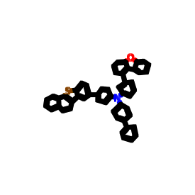 c1ccc(-c2ccc(N(c3ccc(-c4ccc5sc6c7ccccc7ccc6c5c4)cc3)c3cccc(-c4cccc5oc6ccccc6c45)c3)cc2)cc1